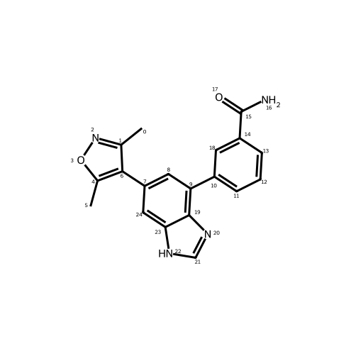 Cc1noc(C)c1-c1cc(-c2cccc(C(N)=O)c2)c2nc[nH]c2c1